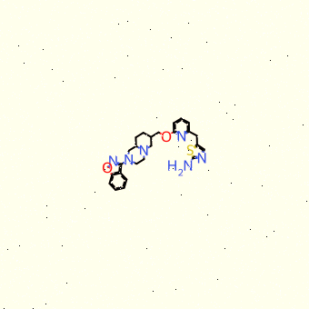 Nc1ncc(Cc2cccc(OCC3CCC4CN(c5noc6ccccc56)CCN4C3)n2)s1